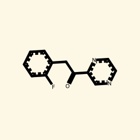 O=C(Cc1ccccc1F)c1cnccn1